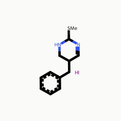 CSC1N=CC(Cc2ccccc2)CN1.I